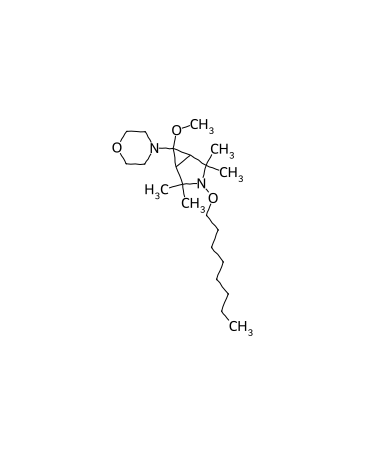 CCCCCCCCON1C(C)(C)C2C(C1(C)C)C2(OC)N1CCOCC1